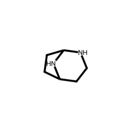 C1CC2CCC(N1)N2